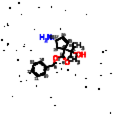 CC(C)(O)[C@]1(C(=O)OCc2ccccc2)C=C[C@@H](N)C1